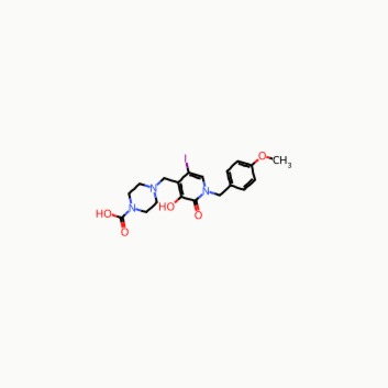 COc1ccc(Cn2cc(I)c(CN3CCN(C(=O)O)CC3)c(O)c2=O)cc1